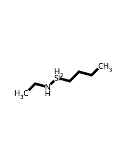 CCCC[SiH2]NCC